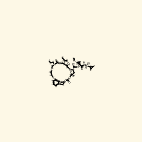 C=C[C@@H]1C[C@]1(NC(=O)[C@@H]1C[C@@H]2CN1C(=O)[C@H](C(C)C)NC(=O)N(CCC)CCCCCc1cccc3c1CN(C3)C(=O)O2)C(=O)NS(=O)(=O)C1CC1